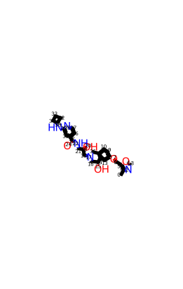 Cc1ncoc1COc1ccc2c(c1)[C@H](O)CN(CC(O)CNC(=O)c1ccnc(NC3CCC3)c1)C2